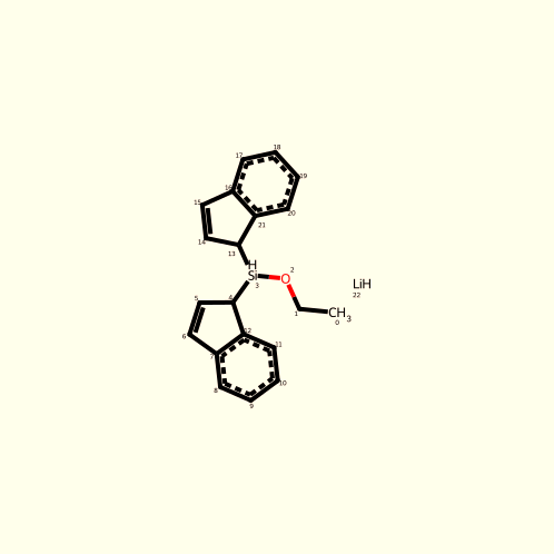 CCO[SiH](C1C=Cc2ccccc21)C1C=Cc2ccccc21.[LiH]